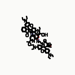 CCN(CC)c1ccc2c(c1)Oc1cc(N(CC)CC)ccc1C21c2ccccc2C(=O)N1CC/N=C(\CCCN(CC)c1ccc2c(c1)Oc1cc(N(CC)CC)ccc1C21c2ccccc2C(=O)N1/N=C/c1cccc(CO)n1)c1cccc(C(C)=O)n1